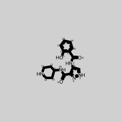 O=C(Nc1c[nH]nc1C(=O)NC1CCNCC1)c1ccccc1O